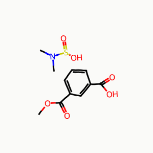 CN(C)S(=O)O.COC(=O)c1cccc(C(=O)O)c1